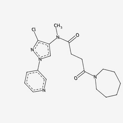 CN(C(=O)CCC(=O)N1CCCCCC1)c1cn(-c2cccnc2)nc1Cl